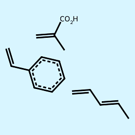 C=C(C)C(=O)O.C=CC=CC.C=Cc1ccccc1